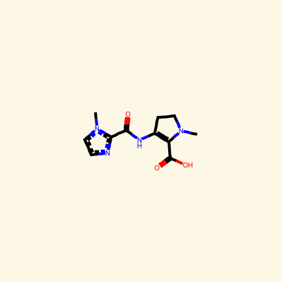 CN1CCC(NC(=O)c2nccn2C)=C1C(=O)O